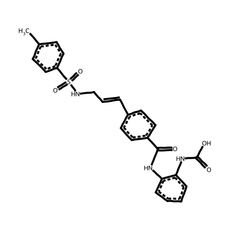 Cc1ccc(S(=O)(=O)NCC=Cc2ccc(C(=O)Nc3ccccc3NC(=O)O)cc2)cc1